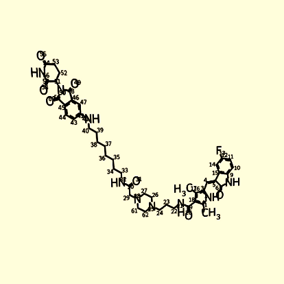 Cc1[nH]c(/C=C2\C(=O)Nc3ccc(F)cc32)c(C)c1C(=O)NCCCN1CCN(CC(=O)NCCCCCCCCNc2ccc3c(c2)C(=O)N(C2CCC(=O)NC2=O)C3=O)CC1